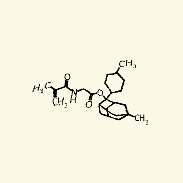 C=C(C)C(=O)NCC(=O)OC1(C2CCC(C)CC2)C2CC3CC1CC(C)(C3)C2